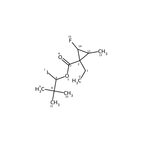 CCC1(C(=O)OC(I)C(C)(C)C)C(C)C1F